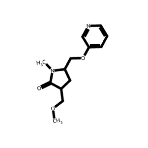 COCC1CC(COc2cccnc2)N(C)C1=O